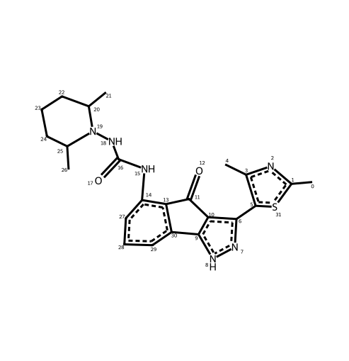 Cc1nc(C)c(-c2n[nH]c3c2C(=O)c2c(NC(=O)NN4C(C)CCCC4C)cccc2-3)s1